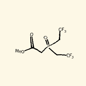 COC(=O)CP(=O)(CC(F)(F)F)CC(F)(F)F